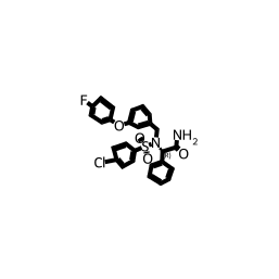 NC(=O)[C@@H](c1ccccc1)N(Cc1cccc(Oc2ccc(F)cc2)c1)S(=O)(=O)c1ccc(Cl)cc1